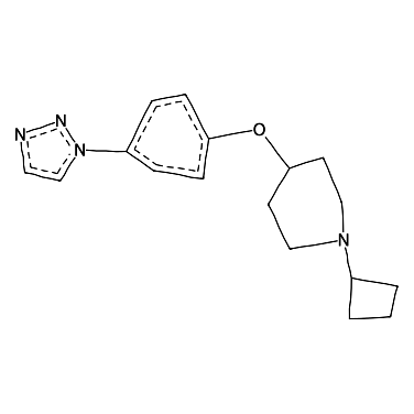 c1cn(-c2ccc(OC3CCN(C4CCC4)CC3)cc2)nn1